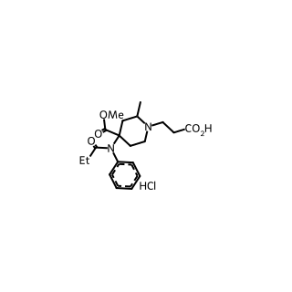 CCC(=O)N(c1ccccc1)C1(C(=O)OC)CCN(CCC(=O)O)C(C)C1.Cl